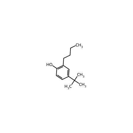 CCCCc1cc(C(C)(C)C)ccc1O